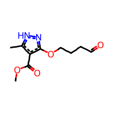 COC(=O)c1c(OCCCC=O)n[nH]c1C